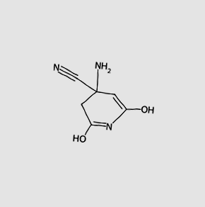 N#CC1(N)C=C(O)N=C(O)C1